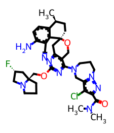 C[C@H]1CC[C@]2(Cc3nc(OC[C@@]45CCCN4C[C@H](F)C5)nc(N4CCCn5nc(C(=O)N(C)C)c(Cl)c5C4)c3CO2)c2c1ccc(N)c2C#N